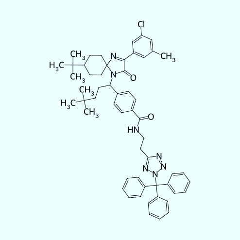 Cc1cc(Cl)cc(C2=NC3(CCC(C(C)(C)C)CC3)N(C(CCC(C)(C)C)c3ccc(C(=O)NCCc4nnn(C(c5ccccc5)(c5ccccc5)c5ccccc5)n4)cc3)C2=O)c1